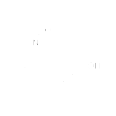 CC(=O)N1CCC(C)(C)c2cc(C3(C)CC3CO)ccc21